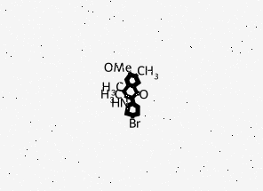 COc1cc2c(cc1C)C(=O)c1c([nH]c3cc(Br)ccc13)C2(C)C